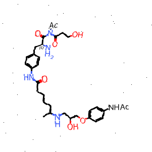 CC(=O)Nc1ccc(OCC(O)CNC(C)CCCCC(=O)Nc2ccc(C[C@H](N)C(=O)N(C(C)=O)C(=O)CCO)cc2)cc1